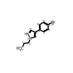 CCCn1cc(-c2ccc(Br)cc2)cn1